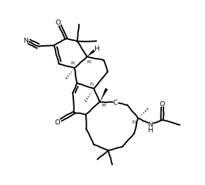 CC(=O)N[C@@]1(C)CCC(C)(C)CCC2C(=O)C=C3[C@@]4(C)C=C(C#N)C(=O)C(C)(C)[C@@H]4CC[C@@]3(C)[C@]2(C)CC1